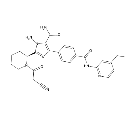 CCc1ccnc(NC(=O)c2ccc(-c3nc([C@@H]4CCCCN4C(=O)CC#N)n(N)c3C(N)=O)cc2)c1